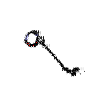 CO[C@H]1C[C@@H]2CC[C@@H](C)[C@@](O)(O2)C(=O)C(=O)N2CCCC[C@H]2C(=O)O[C@H](CC[C@@H]2CC[C@@H](OC(=O)NCCOCCOCCOCCOCCOCCOCCOCCOCCC(=O)N3CCc4cc(CNc5ncnc(N)c5C(=N)c5ccc6oc(N)nc6c5)ccc4C3)[C@H](OC)C2)C[C@@H](O)[C@H](C)/C=C(\C)[C@@H](O)[C@@H](O)C(=O)[C@H](C)C[C@H](C)/C=C/C=C/C=C/1C